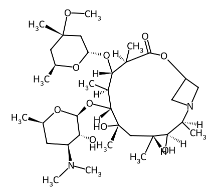 CO[C@]1(C)C[C@H](O[C@H]2[C@H](C)[C@@H](O[C@@H]3O[C@H](C)C[C@H](N(C)C)[C@H]3O)[C@@](C)(O)C[C@@H](C)[C@H](O)[C@H](C)N3CC(C3)OC(=O)[C@@H]2C)O[C@@H](C)C1